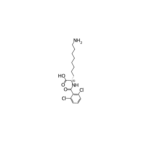 NCCCCCCCC[C@H](NC(=O)c1c(Cl)cccc1Cl)C(=O)O